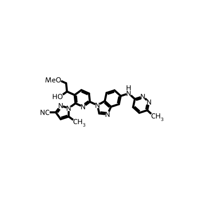 COCC(O)c1ccc(-n2cnc3cc(Nc4ccc(C)nn4)ccc32)nc1-n1nc(C#N)cc1C